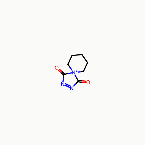 O=C1N=NC(=O)[N+]12CCCCC2